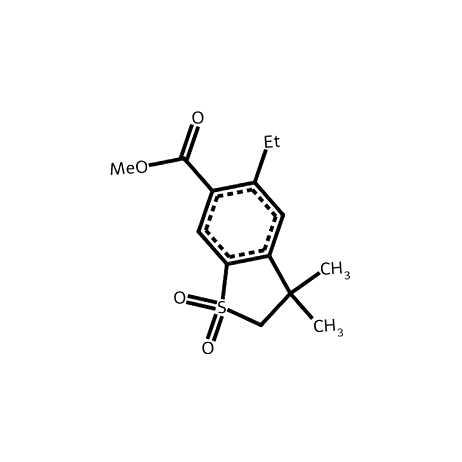 CCc1cc2c(cc1C(=O)OC)S(=O)(=O)CC2(C)C